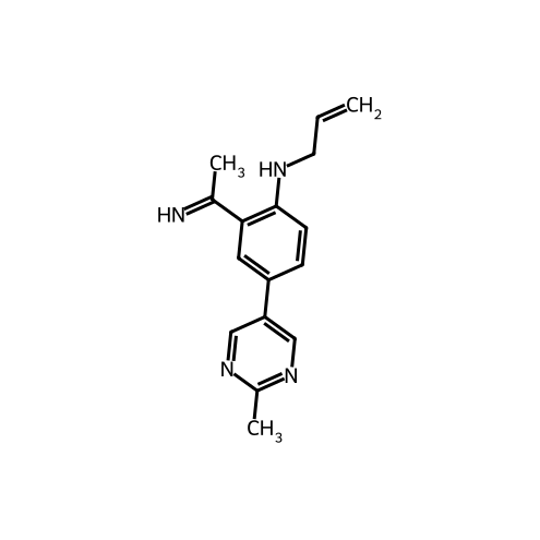 C=CCNc1ccc(-c2cnc(C)nc2)cc1C(C)=N